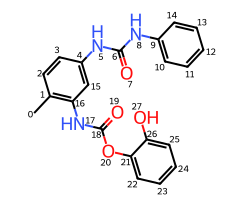 Cc1ccc(NC(=O)Nc2ccccc2)cc1NC(=O)Oc1ccccc1O